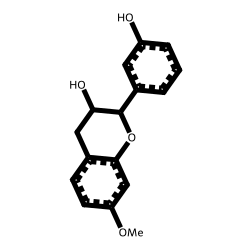 COc1ccc2c(c1)OC(c1cccc(O)c1)C(O)C2